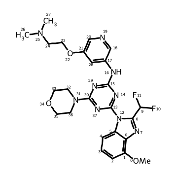 COc1cccc2c1nc(C(F)F)n2-c1nc(Nc2cncc(OCCN(C)C)c2)nc(N2CCOCC2)n1